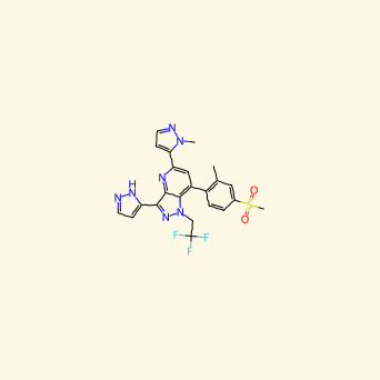 Cc1cc(S(C)(=O)=O)ccc1-c1cc(-c2ccnn2C)nc2c(-c3ccn[nH]3)nn(CC(F)(F)F)c12